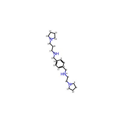 c1cc(CNCCN2CCCC2)ccc1CNCCCN1CCCC1